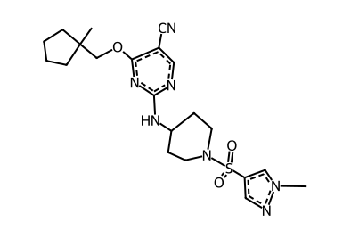 Cn1cc(S(=O)(=O)N2CCC(Nc3ncc(C#N)c(OCC4(C)CCCC4)n3)CC2)cn1